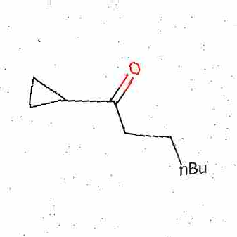 CCCCCCC(=O)C1CC1